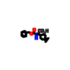 O=C(N[C@H](C(=O)O)C1CCC2(CC1)CC2)OCc1ccccc1